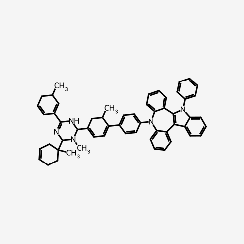 CC1C=C(C2=NC(C3(C)CC=CCC3)N(C)C(C3=CC=C(c4ccc(N5c6ccccc6-c6c(n(-c7ccccc7)c7ccccc67)-c6ccccc65)cc4)C(C)C3)N2)C=CC1